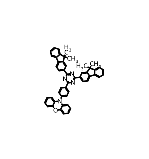 CC1(C)c2ccccc2-c2ccc(-c3nc(-c4ccc(N5c6ccccc6Oc6ccccc65)cc4)nc(-c4ccc5c(c4)C(C)(C)c4ccccc4-5)n3)cc21